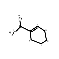 [CH2]CC(C)C1=CCCCC1